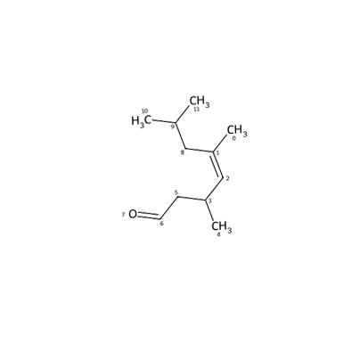 CC(=CC(C)CC=O)CC(C)C